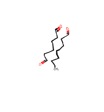 CCCCCCC=O.O=CCCCCC=O